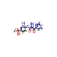 COC(=O)C1=CNC(CC(=O)NC(=O)c2cnccn2)C=C1